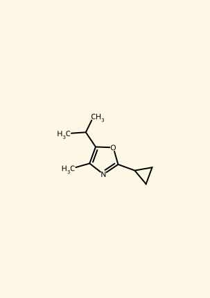 Cc1nc(C2CC2)oc1C(C)C